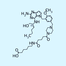 CCCC[C@@H](CO)Nc1nc(N)nc2ccn(Cc3cc(CN4CCN(C(=O)CCCC(=O)NCCCCCC(=O)O)CC4)ccc3OC)c12